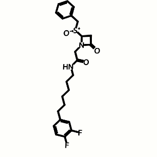 O=C(CN1C(=O)CC1[S+]([O-])Cc1ccccc1)NCCCCCCc1ccc(F)c(F)c1